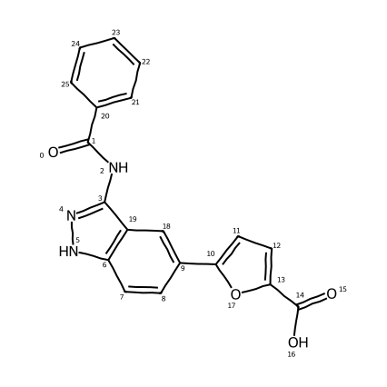 O=C(Nc1n[nH]c2ccc(-c3ccc(C(=O)O)o3)cc12)c1ccccc1